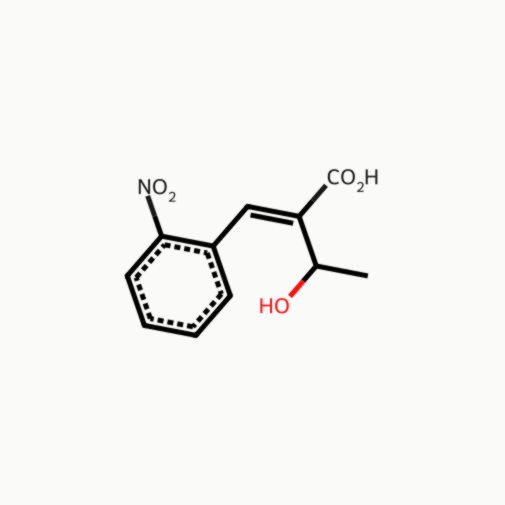 CC(O)C(=Cc1ccccc1[N+](=O)[O-])C(=O)O